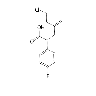 C=C(CCCl)CC(C(=O)O)c1ccc(F)cc1